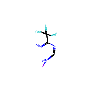 N=C(/N=C\NI)C(F)(F)F